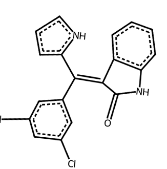 O=C1Nc2ccccc2C1=C(c1cc(Cl)cc(Cl)c1)c1ccc[nH]1